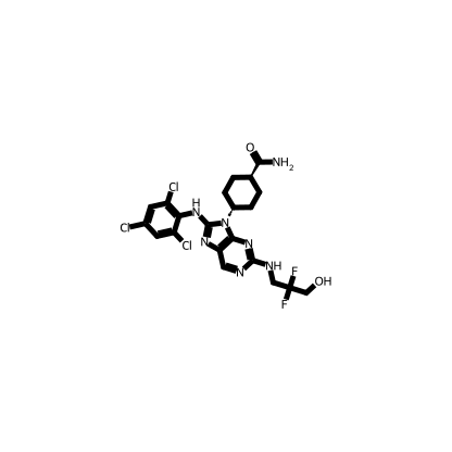 NC(=O)[C@H]1CC[C@H](n2c(Nc3c(Cl)cc(Cl)cc3Cl)nc3cnc(NCC(F)(F)CO)nc32)CC1